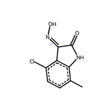 Cc1ccc(Cl)c2c1NC(=O)/C2=N\O